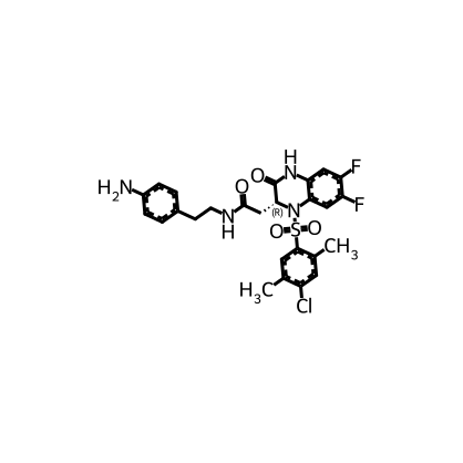 Cc1cc(S(=O)(=O)N2c3cc(F)c(F)cc3NC(=O)[C@H]2CC(=O)NCCc2ccc(N)cc2)c(C)cc1Cl